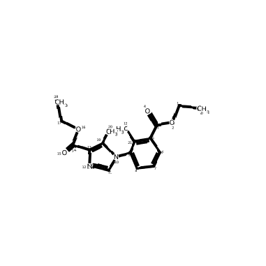 CCOC(=O)c1cccc(-n2cnc(C(=O)OCC)c2C)c1C